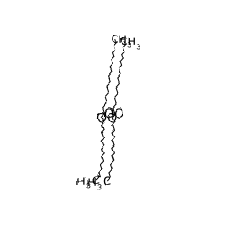 CCCCCCCCCCCCCCCCCC(=O)OCCCCCCCCCCCCCCCC.CCCCCCCCCCCCCCCCCC(=O)OCCCCCCCCCCCCCCCC